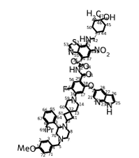 COc1ccc(CN2CCN(C3CC4(CCN(c5cc(Oc6cnc7[nH]ccc7c6)c(C(=O)NS(=O)(=O)c6cc([N+](=O)[O-])c(NC[C@H]7CC[C@](C)(O)CC7)c7scnc67)cc5F)CC4)C3)[C@H](c3ccccc3C(C)C)C2)cc1